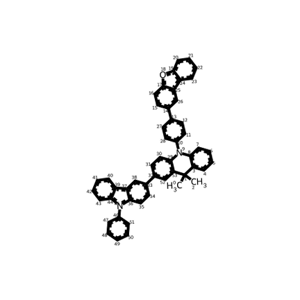 CC1(C)c2ccccc2N(c2ccc(-c3ccc4oc5ccccc5c4c3)cc2)c2ccc(-c3ccc4c(c3)c3ccccc3n4-c3ccccc3)cc21